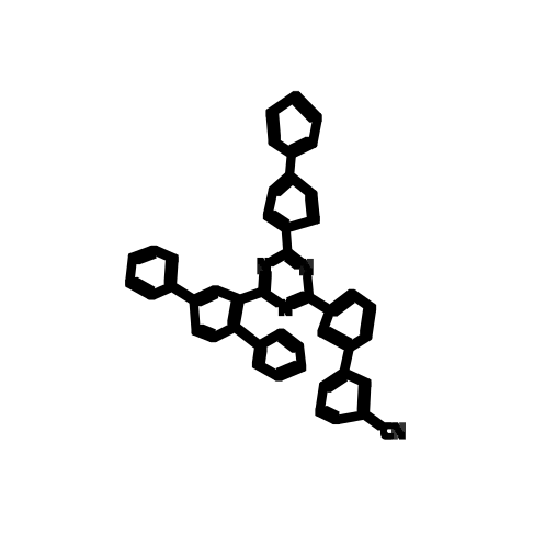 N#Cc1cccc(-c2cccc(-c3nc(-c4ccc(-c5ccccc5)cc4)nc(-c4cc(-c5ccccc5)ccc4-c4ccccc4)n3)c2)c1